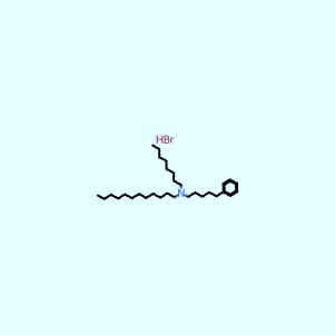 Br.CCCCCCCCCCCCN(CCCCCCCC)CCCCCc1ccccc1